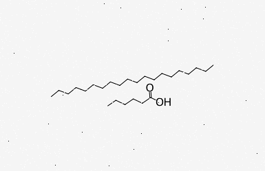 CCCCCC(=O)O.CCCCCCCCCCCCCCCCCCCC